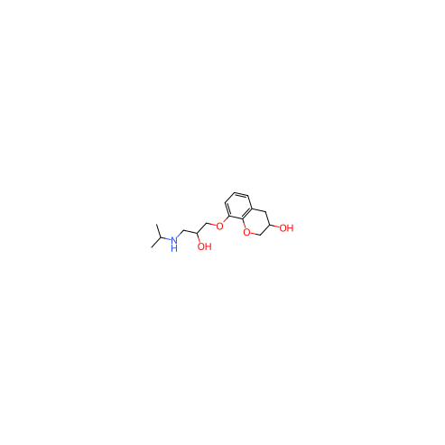 CC(C)NCC(O)COc1cccc2c1OCC(O)C2